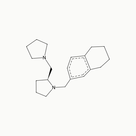 c1cc2c(cc1CN1CCC[C@H]1CN1CCCC1)CCCC2